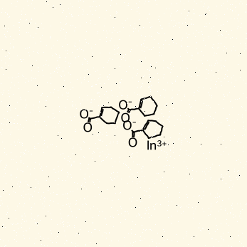 O=C([O-])C1=CCCCC1.O=C([O-])C1=CCCCC1.O=C([O-])C1=CCCCC1.[In+3]